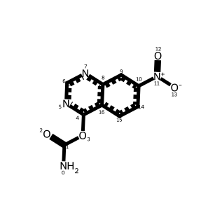 NC(=O)Oc1ncnc2cc([N+](=O)[O-])ccc12